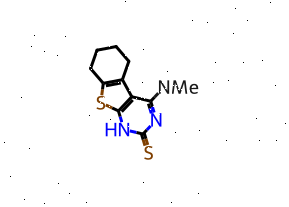 CNc1nc(=S)[nH]c2sc3c(c12)CCCC3